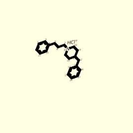 Cl.c1ccc(CCCN2CCC(Cc3ccccc3)CC2)cc1